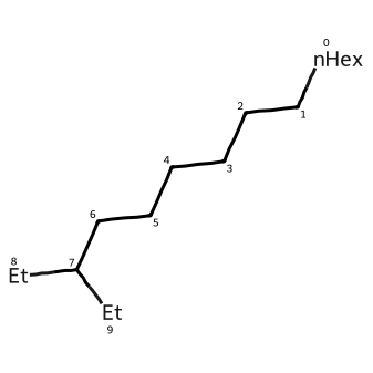 CCCCCCCCCCCCC(CC)CC